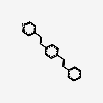 C(=C\c1ccc(/C=C/c2ccncc2)cc1)/c1ccccc1